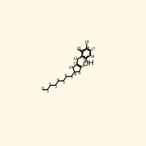 CCCCCCCCC1CC=C(Cc2c(O)ccc(C)c2C)C1